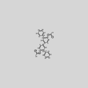 CC(=O)Oc1ccc(-c2ccc(OC(C)=O)c(-c3ccccc3)c2)cc1-c1ccccc1